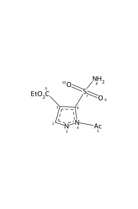 CCOC(=O)c1cnn(C(C)=O)c1S(N)(=O)=O